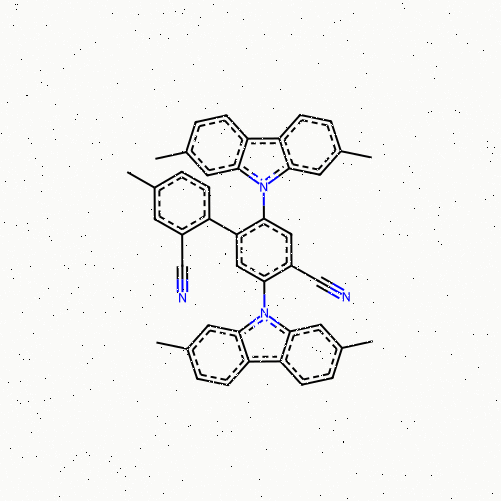 Cc1ccc(-c2cc(-n3c4cc(C)ccc4c4ccc(C)cc43)c(C#N)cc2-n2c3cc(C)ccc3c3ccc(C)cc32)c(C#N)c1